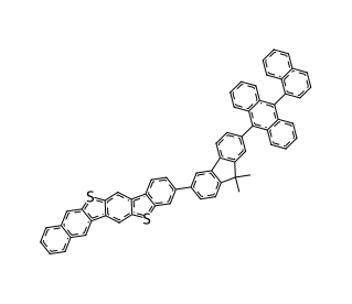 CC1(C)c2ccc(-c3ccc4c(c3)sc3cc5c(cc34)sc3cc4ccccc4cc35)cc2-c2ccc(-c3c4ccccc4c(-c4cccc5ccccc45)c4ccccc34)cc21